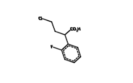 O=C(O)C(CCCl)c1ccccc1F